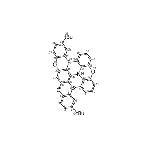 CC(C)(C)c1ccc2c(c1)B1c3cccc4c3N3c5c(cccc5B5c6cc(C(C)(C)C)ccc6Oc6cc(c1c3c65)O2)O4